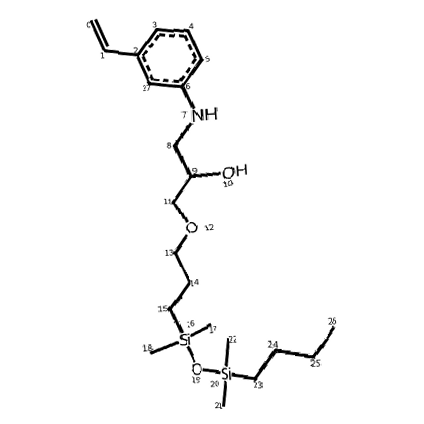 C=Cc1cccc(NCC(O)COCCC[Si](C)(C)O[Si](C)(C)CCCC)c1